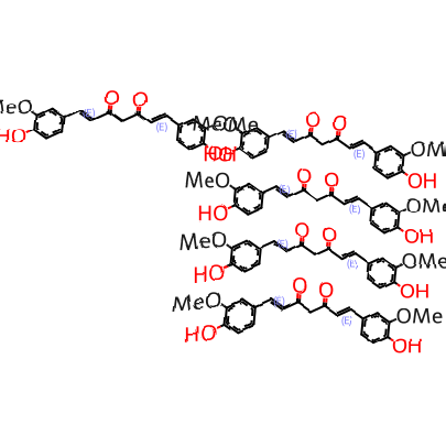 COc1cc(/C=C/C(=O)CC(=O)/C=C/c2ccc(O)c(OC)c2)ccc1O.COc1cc(/C=C/C(=O)CC(=O)/C=C/c2ccc(O)c(OC)c2)ccc1O.COc1cc(/C=C/C(=O)CC(=O)/C=C/c2ccc(O)c(OC)c2)ccc1O.COc1cc(/C=C/C(=O)CC(=O)/C=C/c2ccc(O)c(OC)c2)ccc1O.COc1cc(/C=C/C(=O)CC(=O)/C=C/c2ccc(O)c(OC)c2)ccc1O